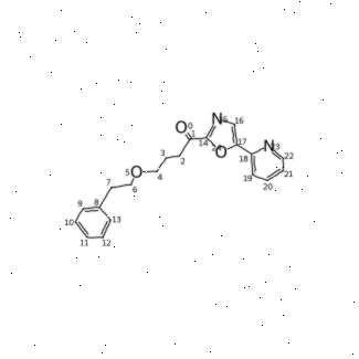 O=C(CCCOCCc1ccccc1)c1ncc(-c2ccccn2)o1